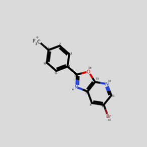 FC(F)(F)c1ccc(-c2nc3cc(Br)cnc3o2)cc1